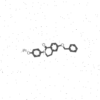 CC(C)Oc1ccc(N2CCc3cc(OCc4ccccc4)ccc3C2=O)cc1